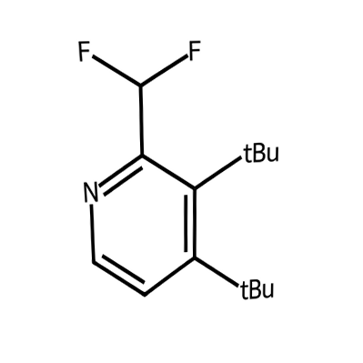 CC(C)(C)c1ccnc(C(F)F)c1C(C)(C)C